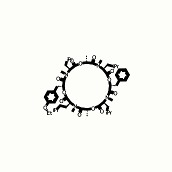 CCOc1ccc(C[C@H]2OC(=O)[C@H](CCC(C)C)N(C)C(=O)[C@@H](C)OC(=O)[C@H](CC(C)C)N(C)C(=O)[C@@H](Cc3ccccc3)OC(=O)[C@H](CC(C)C)N(C)C(=O)[C@@H](C)OC(=O)[C@H](CC(C)C)N(C)C2=O)cc1